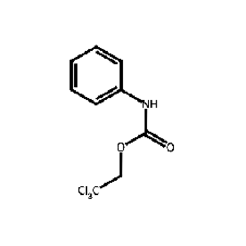 O=C(Nc1ccccc1)OCC(Cl)(Cl)Cl